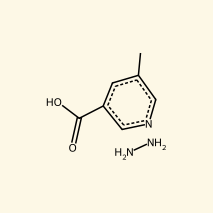 Cc1cncc(C(=O)O)c1.NN